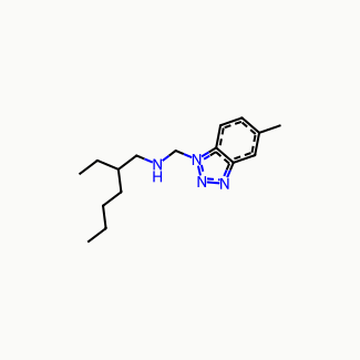 CCCCC(CC)CNCn1nnc2cc(C)ccc21